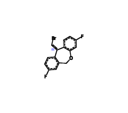 Fc1ccc2c(c1)COc1cc(F)ccc1/C2=C\Br